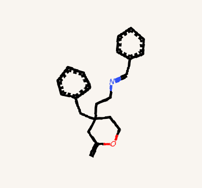 C=C1CC(CC/N=C/c2ccccc2)(Cc2ccccc2)CCO1